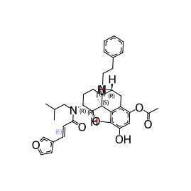 CC(=O)Oc1cc(O)c2c3c1C[C@@H]1[C@@H]4CC[C@@H](N(CC(C)C)C(=O)/C=C/c5ccoc5)[C@H](O2)[C@]34CCN1CCc1ccccc1